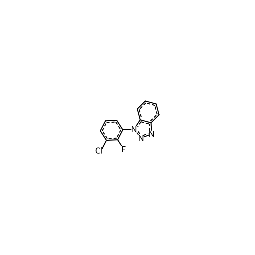 Fc1c(Cl)cccc1-n1nnc2ccccc21